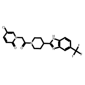 O=C(Cn1cc(Cl)ccc1=O)N1CCC(c2nc3cc(C(F)(F)F)ccc3[nH]2)CC1